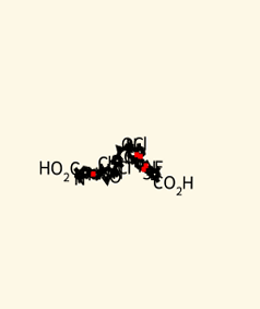 Cn1cc(C(=O)O)c2ccc(N3C4CCC3C3(C4)CN(Cc4c(-c5c(Cl)cc(C6CC6c6onc(-c7c(Cl)cccc7Cl)c6CN6CC7(CC8CCC(C7)N8c7nc8c(F)cc(C(=O)O)cc8s7)C6)cc5Cl)noc4C4CC4)C3)cc21